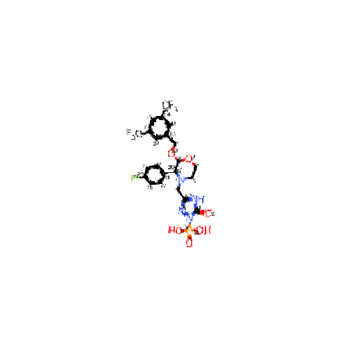 O=c1[nH]c(CN2CCOC(OCc3cc(C(F)(F)F)cc(C(F)(F)F)c3)[C@@H]2c2ccc(F)cc2)nn1P(=O)(O)O